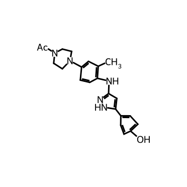 CC(=O)N1CCN(c2ccc(Nc3cc(-c4ccc(O)cc4)[nH]n3)c(C)c2)CC1